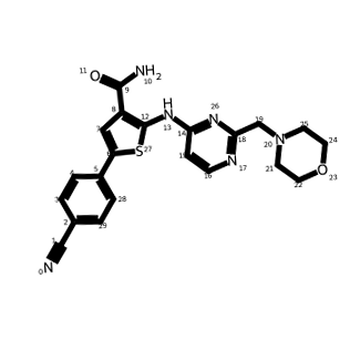 N#Cc1ccc(-c2cc(C(N)=O)c(Nc3ccnc(CN4CCOCC4)n3)s2)cc1